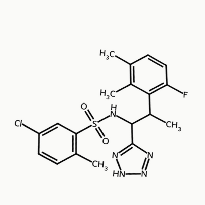 Cc1ccc(Cl)cc1S(=O)(=O)NC(c1nn[nH]n1)C(C)c1c(F)ccc(C)c1C